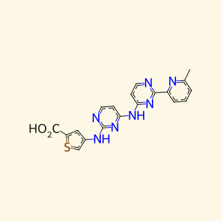 Cc1cccc(-c2nccc(Nc3ccnc(Nc4csc(C(=O)O)c4)n3)n2)n1